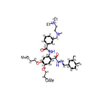 CCN(CC)CCN(C)Cc1cccc(C(=O)Nc2cc(OCCOC)c(OCCOC)cc2C(=O)N/N=C/c2ccc(C)c(C)c2)c1